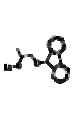 CCOC(C)COC1c2ccccc2-c2ccccc21